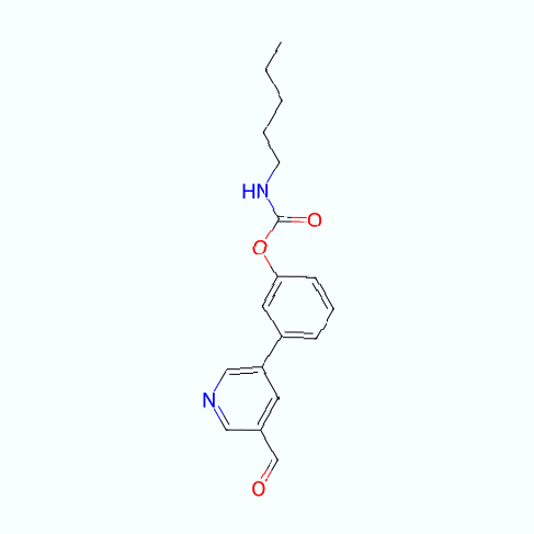 CCCCCNC(=O)Oc1cccc(-c2cncc(C=O)c2)c1